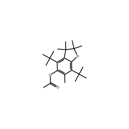 CC(=O)Oc1c(C)c(C(C)(C)C)c2c(c1C(C)(C)C)C(C)(C)C(C)(C)O2